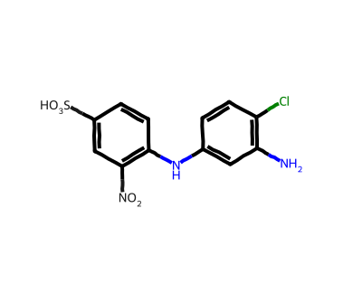 Nc1cc(Nc2ccc(S(=O)(=O)O)cc2[N+](=O)[O-])ccc1Cl